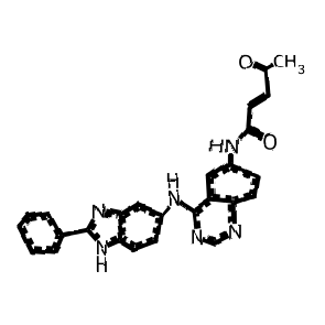 CC(=O)C=CC(=O)Nc1ccc2ncnc(Nc3ccc4[nH]c(-c5ccccc5)nc4c3)c2c1